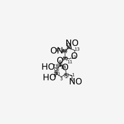 O=NC[C@H]1C[C@@H](O)[C@H](O)[C@@H](O[C@H]2COC[C@@H](N=O)[C@@H]2N=O)O1